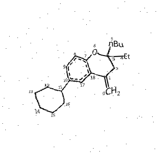 C=C1CC(CC)(CCCC)Oc2ccc(C3CCCCC3)cc21